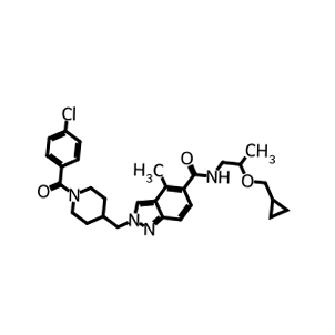 Cc1c(C(=O)NCC(C)OCC2CC2)ccc2nn(CC3CCN(C(=O)c4ccc(Cl)cc4)CC3)cc12